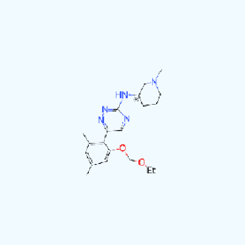 CCOCOc1cc(C)cc(C)c1-c1cnc(N[C@@H]2CCCN(C)C2)nn1